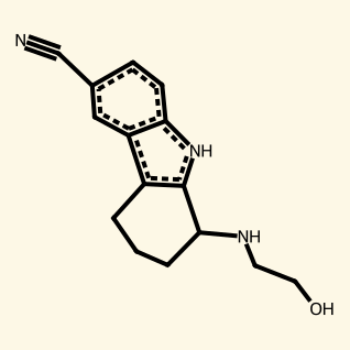 N#Cc1ccc2[nH]c3c(c2c1)CCCC3NCCO